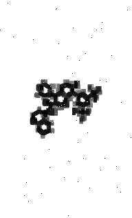 O=C(NN1CCOc2ccccc21)c1cnc2c(-c3cc(C(F)(F)F)cc(C(F)(F)F)c3)c(F)ccc2c1N1CCOCC1